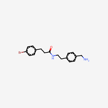 NCc1ccc(CCNC(=O)CCc2ccc(Br)cc2)cc1